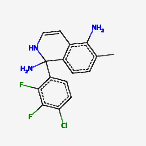 Cc1ccc2c(c1N)C=CNC2(N)c1ccc(Cl)c(F)c1F